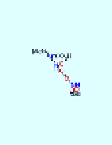 CNCCN(CCNC(=O)COCCOCCNC(=O)OC(C)(C)C)CC(=O)O